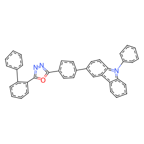 c1ccc(-c2ccccc2-c2nnc(-c3ccc(-c4ccc5c(c4)c4ccccc4n5-c4ccccc4)cc3)o2)cc1